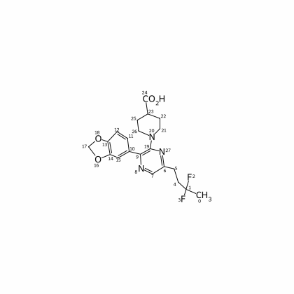 CC(F)(F)CCc1cnc(-c2ccc3c(c2)OCO3)c(N2CCC(C(=O)O)CC2)n1